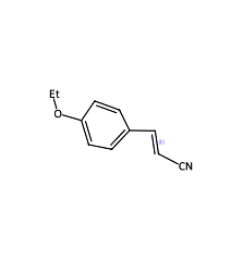 CCOc1ccc(/C=C/C#N)cc1